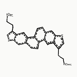 CCCCCCCCCCCCc1csc2cc3ccc4c5cc6c(CCCCCCCCCCCC)csc6cc5ccc4c3cc12